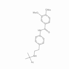 COc1ccc(C(=O)Nc2ccc(CCNC(C)(C)C(C)=O)cc2)cc1OC